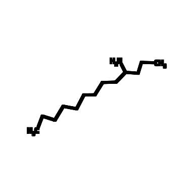 CCCCCCCCCC(N)CCC